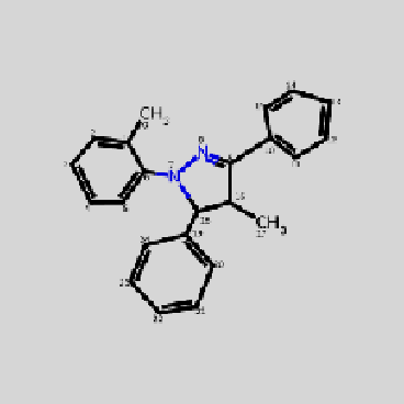 Cc1ccccc1N1N=C(c2ccccc2)C(C)C1c1ccccc1